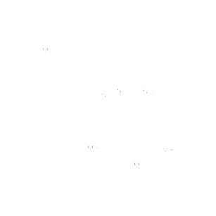 COc1ccc(NN2C=CNC2c2cc(OC)c(OC)c(OC)c2)cc1F